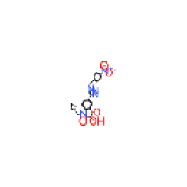 O=C1c2cc(-c3cn(Cc4ccc([N+](=O)[O-])cc4)nn3)ccc2N(CC2CCC2)C(=O)C1O